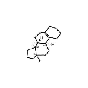 C[C@@]12CCC[C@H]1[C@@H]1CCC3=C(CCCC3)[C@H]1CC2